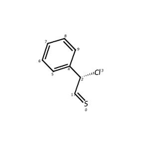 S=[C][C@@H](Cl)c1ccccc1